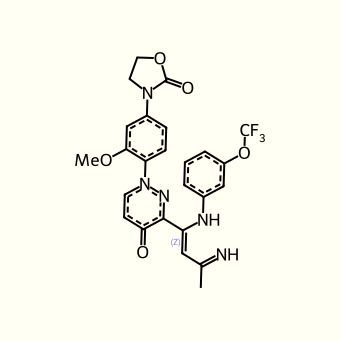 COc1cc(N2CCOC2=O)ccc1-n1ccc(=O)c(/C(=C/C(C)=N)Nc2cccc(OC(F)(F)F)c2)n1